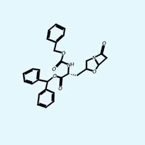 O=C(N[C@H](CC1CN2C(=O)CC2O1)C(=O)OC(c1ccccc1)c1ccccc1)OCc1ccccc1